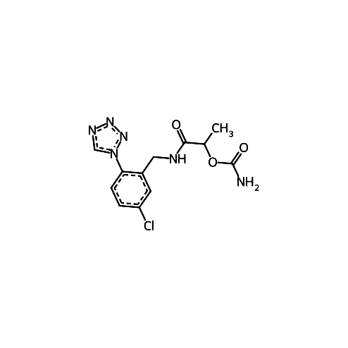 CC(OC(N)=O)C(=O)NCc1cc(Cl)ccc1-n1cnnn1